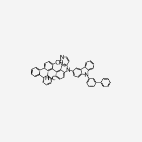 Cc1ccc2c3ccccc3c3ccccc3c2c1-c1c(C)ccc2c1c1cnccc1n2-c1ccc2c(c1)c1ccccc1n2-c1cccc(-c2ccccc2)c1